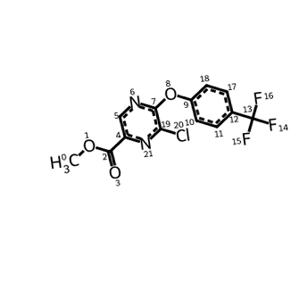 COC(=O)c1cnc(Oc2ccc(C(F)(F)F)cc2)c(Cl)n1